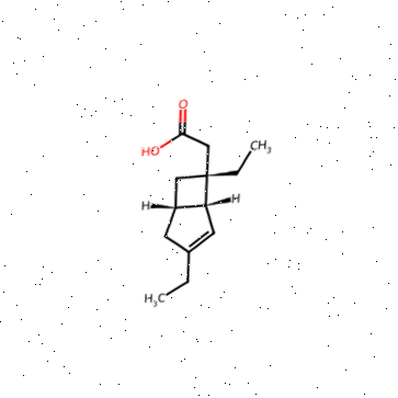 CCC1=C[C@@H]2[C@H](C1)C[C@]2(CC)CC(=O)O